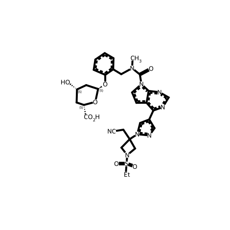 CCS(=O)(=O)N1CC(CC#N)(n2cc(-c3ncnc4c3ccn4C(=O)N(C)Cc3ccccc3O[C@H]3C[C@@H](O)C[C@@H](C(=O)O)O3)cn2)C1